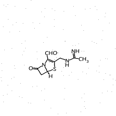 CC(=N)NCC1=C([C]=O)N2C(=O)C[C@H]2S1